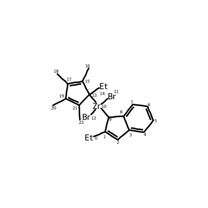 CCC1=Cc2ccccc2[CH]1[Zr]([Br])([Br])[C]1(CC)C(C)=C(C)C(C)=C1C